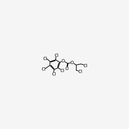 O=C(Oc1c(Cl)c(Cl)c(Cl)c(Cl)c1Cl)OC(CCl)CCl